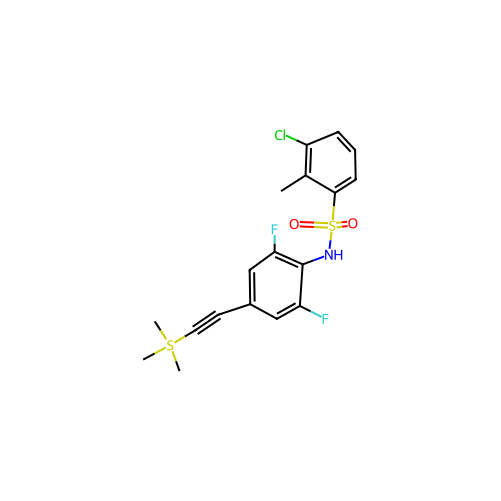 Cc1c(Cl)cccc1S(=O)(=O)Nc1c(F)cc(C#CS(C)(C)C)cc1F